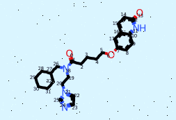 O=C(CCCCOc1ccc2[nH]c(=O)ccc2c1)N(CCn1ccnc1)CC1CCCCC1